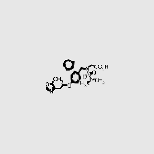 Cc1ocnc1CCOc1ccc(CN(CC(=O)O)S(=O)(=O)N(C)C)cc1.c1ccccc1